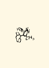 Cc1nn[nH]c1C1OCCO1